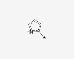 Brc1ccc[nH]1